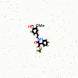 COc1cc(CCNC(=O)/C(=C/OC(F)F)c2ccccc2)ccc1O